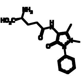 Cc1c(NC(=O)CC[C@H](N)C(=O)O)c(=O)n(-c2ccccc2)n1C